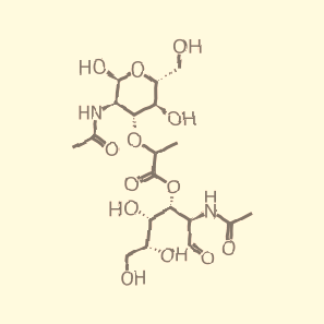 CC(=O)N[C@@H]1[C@@H](OC(C)C(=O)O[C@@H]([C@@H](O)[C@H](O)CO)[C@H](C=O)NC(C)=O)[C@H](O)[C@@H](CO)O[C@@H]1O